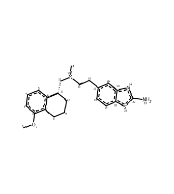 COc1cccc2c1CCC[C@H]2CN(C)CCc1ccc2sc(N)nc2c1